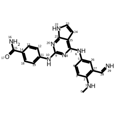 CNc1ccc(Nc2nc(Nc3ccc(C(N)=O)cc3)nc3[nH]ccc23)cc1C=N